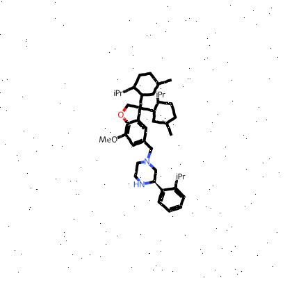 COc1cc(CN2CCN[C@H](c3ccccc3C(C)C)C2)cc2c1OCC2(C1CC(C)CCC1C(C)C)C1CC(C)CCC1C(C)C